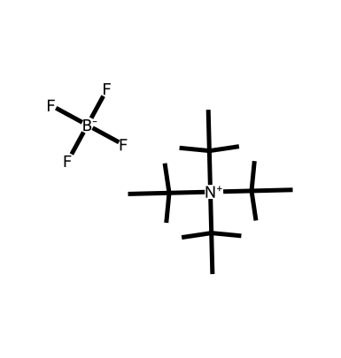 CC(C)(C)[N+](C(C)(C)C)(C(C)(C)C)C(C)(C)C.F[B-](F)(F)F